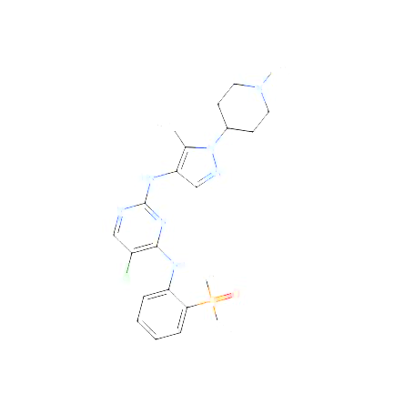 Cc1c(Nc2ncc(Cl)c(Nc3ccccc3P(C)(C)=O)n2)cnn1C1CCN(C)CC1